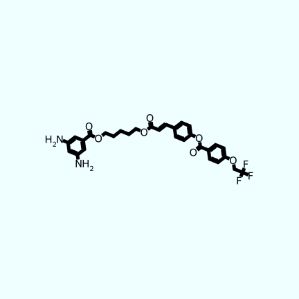 Nc1cc(N)cc(C(=O)OCCCCCOC(=O)/C=C/c2ccc(OC(=O)c3ccc(OCC(F)(F)F)cc3)cc2)c1